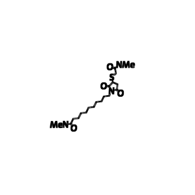 CNC(=O)CCCCCCCCCCN1C(=O)CC(SCC(=O)NC)C1=O